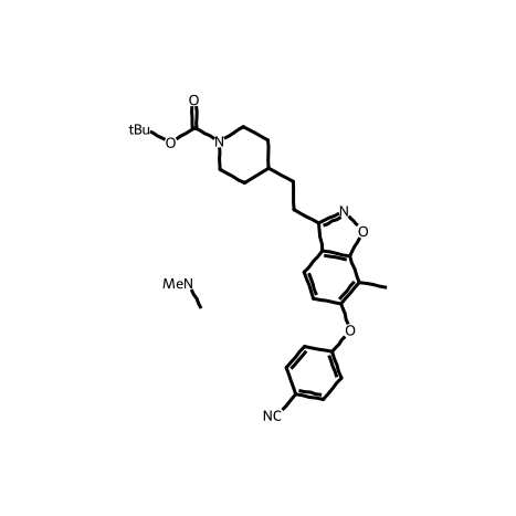 CNC.Cc1c(Oc2ccc(C#N)cc2)ccc2c(CCC3CCN(C(=O)OC(C)(C)C)CC3)noc12